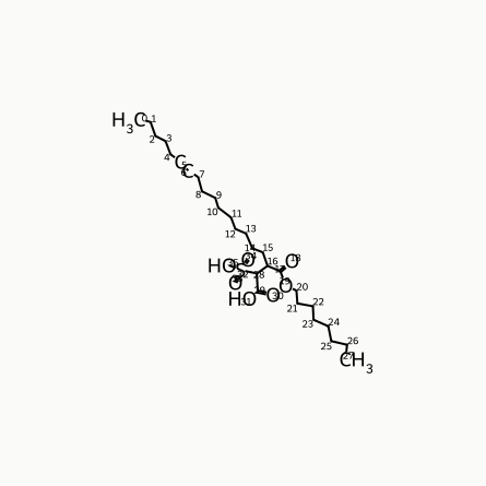 CCCCCCCCCCCCCCCCC(C(=O)OCCCCCCCC)C(C(=O)O)S(=O)(=O)O